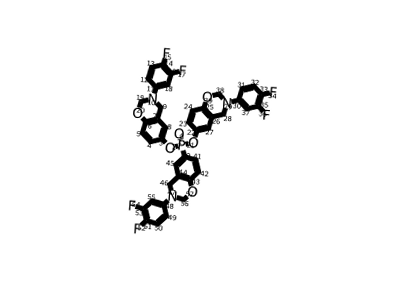 O=P(Oc1ccc2c(c1)CN(c1ccc(F)c(F)c1)CO2)(Oc1ccc2c(c1)CN(c1ccc(F)c(F)c1)CO2)c1ccc2c(c1)CN(c1ccc(F)c(F)c1)CO2